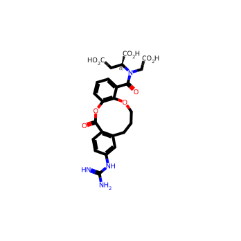 N=C(N)Nc1ccc2c(c1)CCCOc1c(cccc1C(=O)N(CC(=O)O)[C@@H](CC(=O)O)C(=O)O)OC2=O